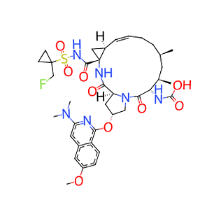 COc1ccc2c(O[C@@H]3C[C@H]4C(=O)N[C@]5(C(=O)NS(=O)(=O)C6(CF)CC6)C[C@H]5/C=C\CC[C@@H](C)C[C@@H](C)[C@H](NC(=O)O)C(=O)N4C3)nc(N(C)C)cc2c1